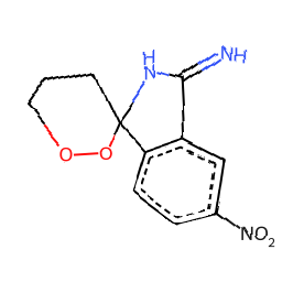 N=C1NC2(CCCOO2)c2ccc([N+](=O)[O-])cc21